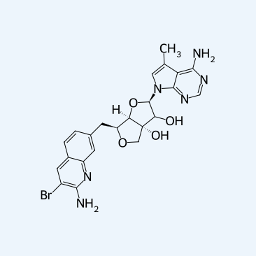 Cc1cn([C@@H]2O[C@@H]3[C@H](Cc4ccc5cc(Br)c(N)nc5c4)OC[C@]3(O)C2O)c2ncnc(N)c12